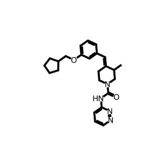 CC1CN(C(=O)Nc2cccnn2)CCC1=Cc1cccc(OCC2CCCC2)c1